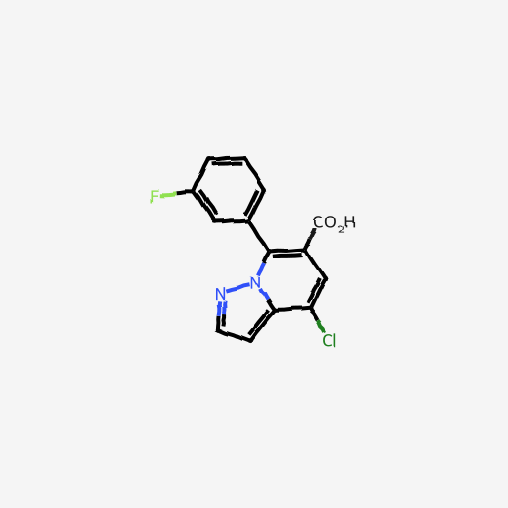 O=C(O)c1cc(Cl)c2ccnn2c1-c1cccc(F)c1